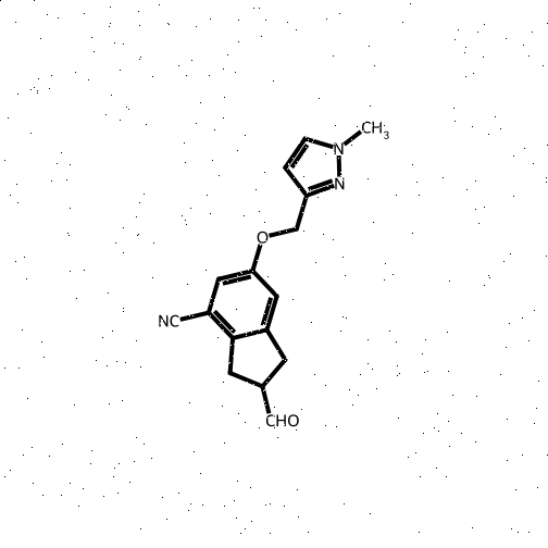 Cn1ccc(COc2cc(C#N)c3c(c2)CC(C=O)C3)n1